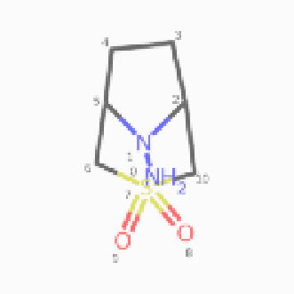 NN1C2CCC1CS(=O)(=O)C2